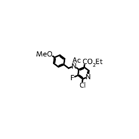 CCOC(=O)c1cnc(Cl)c(F)c1N(Cc1ccc(OC)cc1)C(C)=O